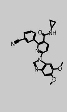 COc1cc2ncn(-c3ccc(C(=O)NC4CC4)c(-c4cccc(C#N)c4)n3)c2cc1OC